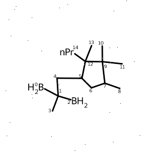 BC(B)(C)CC1CC(C)C(C)(C)C1(C)CCC